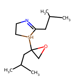 CC(C)CC1=NCC[SH]1C1(CC(C)C)CO1